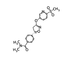 CN(C)C(=O)c1ccc([C@@H]2CC(Oc3ccc(S(C)(=O)=O)nc3)=NO2)cc1